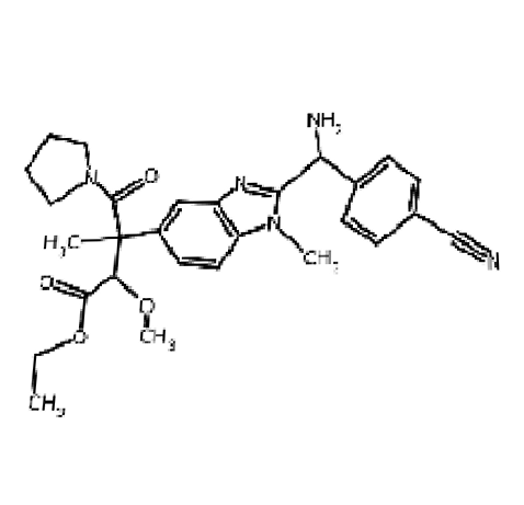 CCOC(=O)C(OC)C(C)(C(=O)N1CCCC1)c1ccc2c(c1)nc(C(N)c1ccc(C#N)cc1)n2C